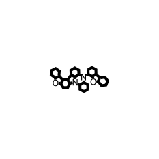 c1ccc2c(c1)N(c1cccc3c1oc1ccccc13)c1cccc3c4c5c(ccc4n-2c13)oc1ccccc15